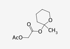 CC(=O)OCC(=O)OC1(C)CCCCO1